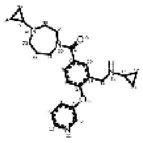 O=C(c1ccc(Oc2cccnc2)c(CNC2CC2)c1)N1CCCN(C2CC2)CC1